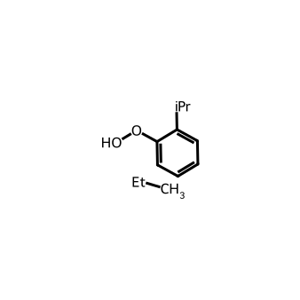 CC(C)c1ccccc1OO.CCC